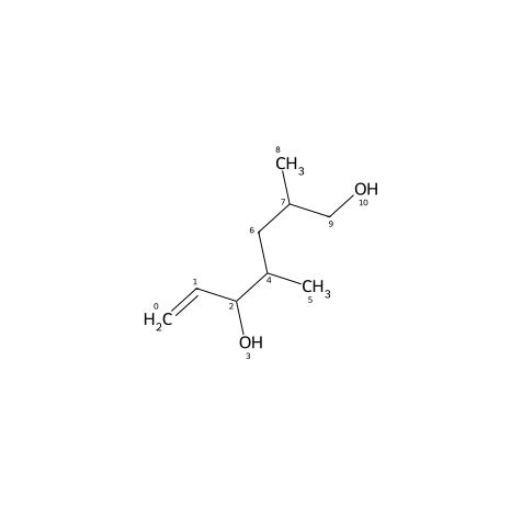 C=CC(O)C(C)CC(C)CO